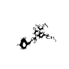 COc1ccc2c(n1)N(C(CO)CO)C(=O)CN2C(=O)OCc1ccccc1